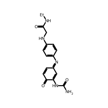 CCNC(=O)CNc1ccc(N=C2C=CC(=O)C(NC(N)=O)=C2)cc1